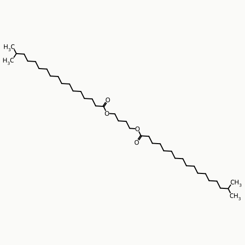 CC(C)CCCCCCCCCCCCCCC(=O)OCCCCOC(=O)CCCCCCCCCCCCCCC(C)C